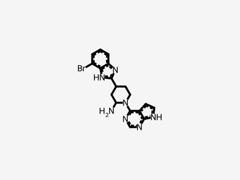 NC1CC(c2nc3cccc(Br)c3[nH]2)CCN1c1ncnc2[nH]ccc12